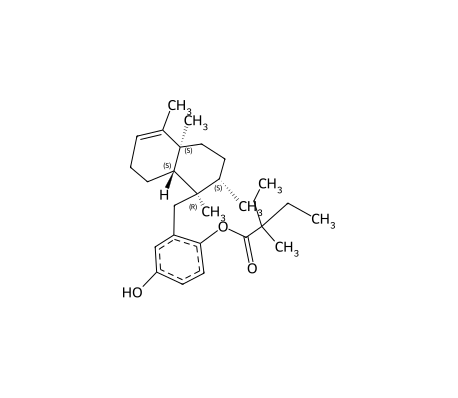 CCC(C)(CC)C(=O)Oc1ccc(O)cc1C[C@]1(C)[C@@H](C)CC[C@]2(C)C(C)=CCC[C@@H]12